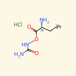 CC(C)C[C@H](N)C(=O)ONC(N)=O.Cl